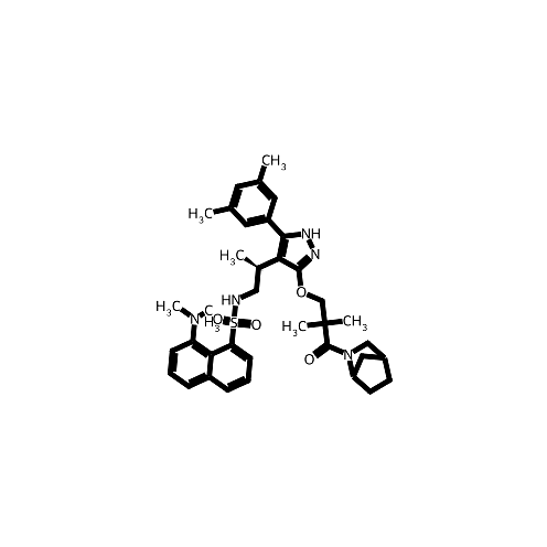 Cc1cc(C)cc(-c2[nH]nc(OCC(C)(C)C(=O)N3CC4CCC3C4)c2[C@H](C)CNS(=O)(=O)c2cccc3cccc(N(C)C)c23)c1